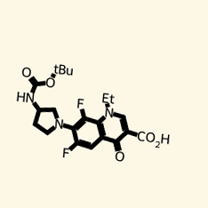 CCn1cc(C(=O)O)c(=O)c2cc(F)c(N3CCC(NC(=O)OC(C)(C)C)C3)c(F)c21